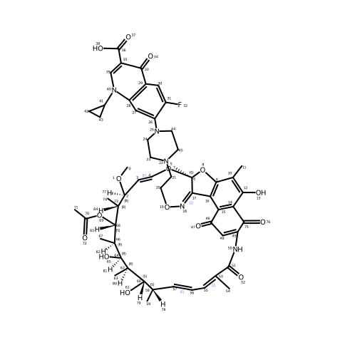 CO[C@H]1/C=C/O[C@@]2(C)Oc3c(C)c(O)c4c(c3/C2=N/OCCN2CCN(c3cc5c(cc3F)c(=O)c(C(=O)O)cn5C3CC3)CC2)C(=O)C=C(NC(=O)/C(C)=C\C=C\[C@H](C)[C@H](O)[C@@H](C)[C@@H](O)[C@@H](C)[C@H](OC(C)=O)[C@@H]1C)C4=O